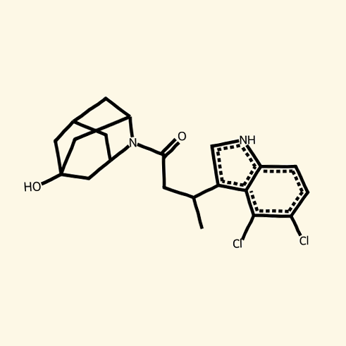 CC(CC(=O)N1C2CC3CC1CC(O)(C3)C2)c1c[nH]c2ccc(Cl)c(Cl)c12